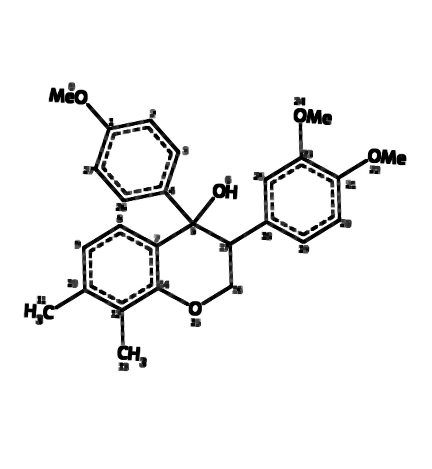 COc1ccc(C2(O)c3ccc(C)c(C)c3OCC2c2ccc(OC)c(OC)c2)cc1